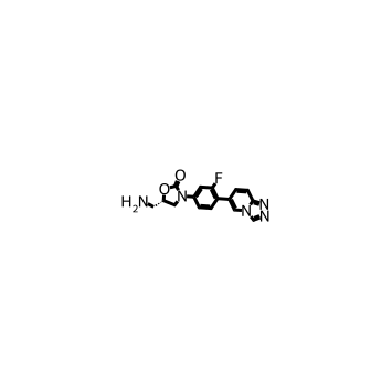 NC[C@H]1CN(c2ccc(-c3ccc4nncn4c3)c(F)c2)C(=O)O1